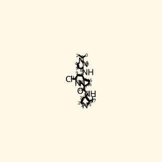 CC(C)n1ccc(NC2=CC(Cl)=NN3C2=CCC3C(=O)Nc2ccncc2F)n1